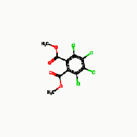 COC(=O)c1c(Cl)c(Cl)c(Cl)c(Cl)c1C(=O)OC